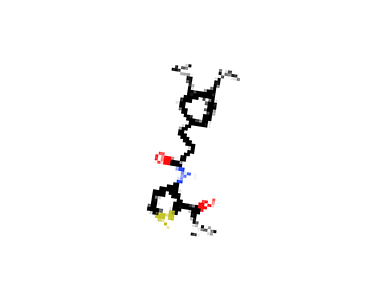 COC(=O)c1sccc1NC(=O)/C=C/c1ccc(OC(C)=O)c(OC(C)=O)c1